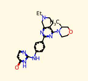 CCN1CCc2c(nc(-c3ccc(Nc4nccc(=O)[nH]4)cc3)nc2N2CCOC[C@@H]2C)C1